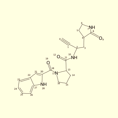 C#CC(CC1CCNC1=O)NC(=O)C1CCCN1C(=O)c1cc2ccccc2[nH]1